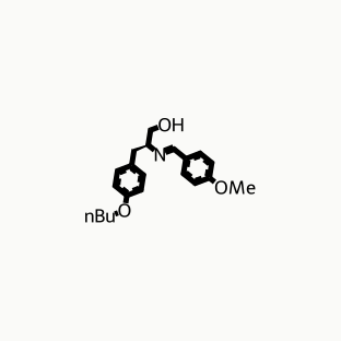 CCCCOc1ccc(C[C@@H](CO)/N=C/c2ccc(OC)cc2)cc1